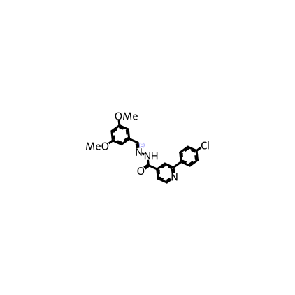 COc1cc(/C=N/NC(=O)c2ccnc(-c3ccc(Cl)cc3)c2)cc(OC)c1